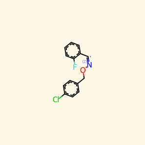 Fc1ccccc1/[C]=N\OCc1ccc(Cl)cc1